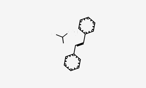 C(=Cc1ccccc1)c1ccccc1.CCC(CC)C(=O)O